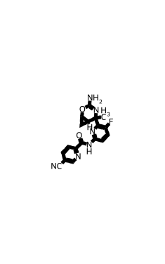 CC1(c2nc(NC(=O)c3ccc(C#N)cn3)ccc2F)N=C(N)OC2C[C@H]21